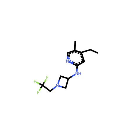 CCc1cc(NC2CN(CC(F)(F)F)C2)ncc1C